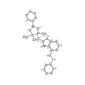 CC1(C)OB(c2ccccc2)OC1(C)Cc1nc2c(OCc3ccccc3)cccc2s1